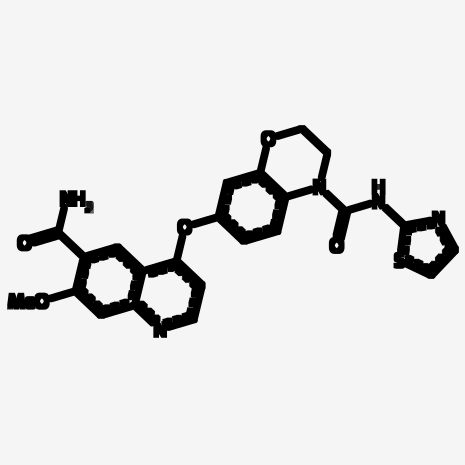 COc1cc2nccc(Oc3ccc4c(c3)OCCN4C(=O)Nc3nccs3)c2cc1C(N)=O